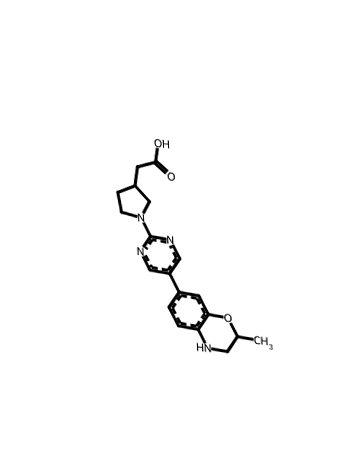 CC1CNc2ccc(-c3cnc(N4CCC(CC(=O)O)C4)nc3)cc2O1